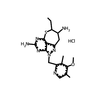 CCC1Sc2nc(N)nc3c2c(nn3Cc2ncc(C)c(OC)c2C)CC1N.Cl